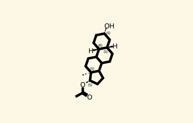 CC(=O)O[C@H]1CCC2C3CC[C@H]4C[C@@H](O)CC[C@H]4C3CC[C@@]21C